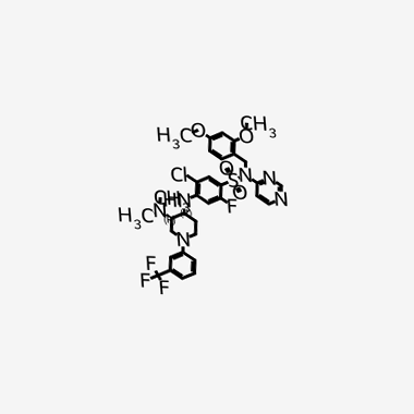 COc1ccc(CN(c2ccncn2)S(=O)(=O)c2cc(Cl)c(N[C@@H]3CCN(c4cccc(C(F)(F)F)c4)C[C@H]3N(C)C)cc2F)c(OC)c1